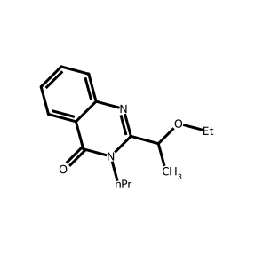 CCCn1c(C(C)OCC)nc2ccccc2c1=O